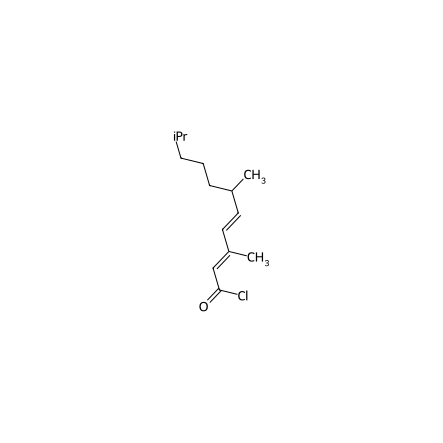 CC(/C=C/C(C)CCCC(C)C)=C\C(=O)Cl